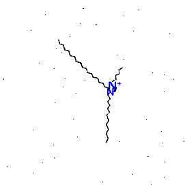 CCCCCCCCCCCCCCCCCCc1n(CCCCCCCCCCCCC)cc[n+]1CCCCCC